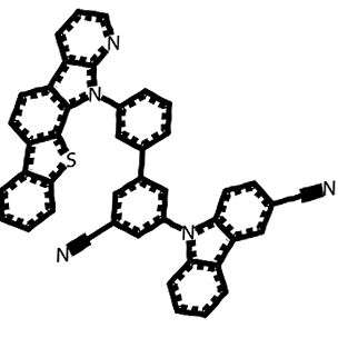 N#Cc1cc(-c2cccc(-n3c4ncccc4c4ccc5c6ccccc6sc5c43)c2)cc(-n2c3ccccc3c3cc(C#N)ccc32)c1